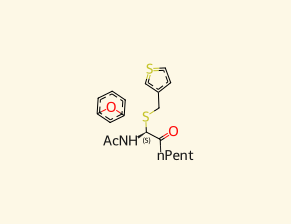 CCCCCC(=O)[C@@H](NC(C)=O)SCc1ccsc1.c1cc2cc(c1)O2